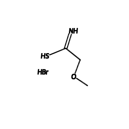 Br.COCC(=N)S